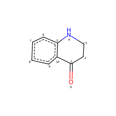 O=C1C[C]Nc2ccccc21